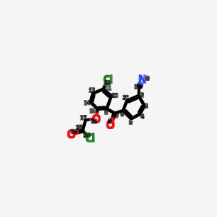 N#Cc1cccc(C(=O)c2cc(Cl)ccc2OCC(=O)Cl)c1